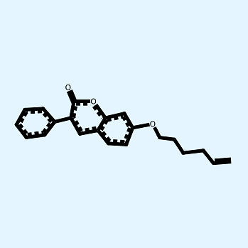 C=CCCCCOc1ccc2cc(-c3ccccc3)c(=O)oc2c1